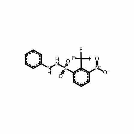 O=[N+]([O-])c1cccc(S(=O)(=O)NNc2ccccc2)c1C(F)(F)F